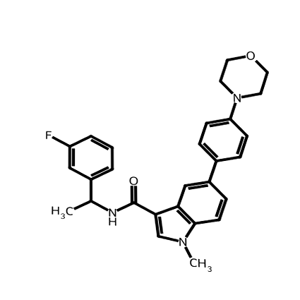 CC(NC(=O)c1cn(C)c2ccc(-c3ccc(N4CCOCC4)cc3)cc12)c1cccc(F)c1